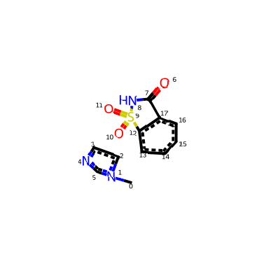 Cn1ccnc1.O=C1NS(=O)(=O)c2ccccc21